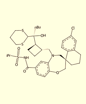 CCCC[C@@](O)(C1SCCCS1)[C@@H]1CC[C@H]1CN1C[C@@]2(CCCc3cc(Cl)ccc32)COc2ccc(C(=O)NS(=O)(=O)C(C)C)cc21